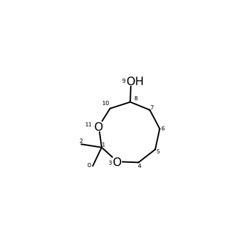 CC1(C)OCCCCC(O)CO1